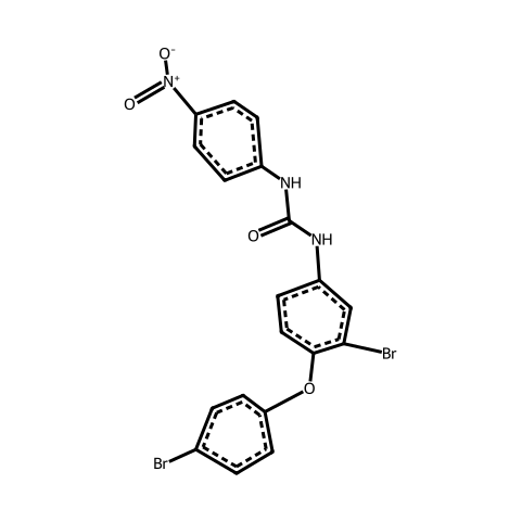 O=C(Nc1ccc([N+](=O)[O-])cc1)Nc1ccc(Oc2ccc(Br)cc2)c(Br)c1